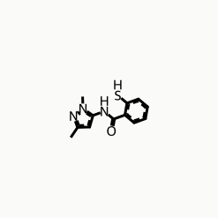 Cc1cc(NC(=O)c2ccccc2S)n(C)n1